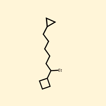 CC[C](CCCCCC1CC1)C1CCC1